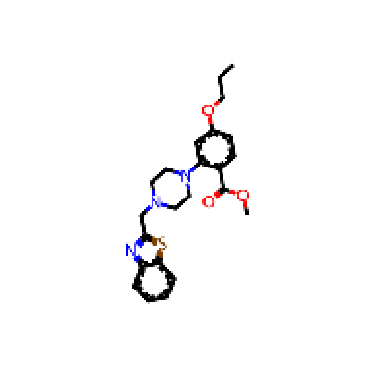 CCCOc1ccc(C(=O)OC)c(N2CCN(Cc3nc4ccccc4s3)CC2)c1